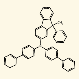 CC1(c2ccccc2)c2ccccc2-c2ccc(N(c3ccc(C4=CC=CCC4)cc3)c3ccc(-c4ccccc4)cc3)cc21